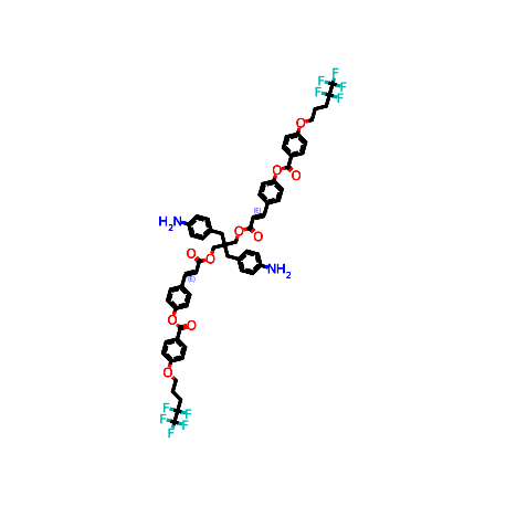 Nc1ccc(CC(COC(=O)/C=C/c2ccc(OC(=O)c3ccc(OCCCC(F)(F)C(F)(F)F)cc3)cc2)(COC(=O)/C=C/c2ccc(OC(=O)c3ccc(OCCCC(F)(F)C(F)(F)F)cc3)cc2)Cc2ccc(N)cc2)cc1